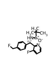 CC(C)(C)[S@+]([O-])N[C@@H](c1ccc(CF)cc1)c1ncccc1F